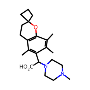 Cc1c(C)c(C(C(=O)O)N2CCN(C)CC2)c(C)c2c1OC1(CCC1)CC2